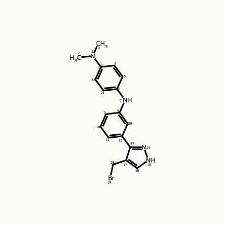 CN(C)c1ccc(Nc2cccc(-c3n[nH]cc3CBr)c2)cc1